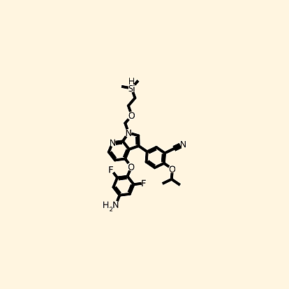 CC(C)Oc1ccc(-c2cn(COCC[SiH](C)C)c3nccc(Oc4c(F)cc(N)cc4F)c23)cc1C#N